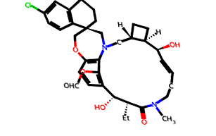 CC[C@H]1C(=O)N(C)CC/C=C/[C@H](O)[C@@H]2CC[C@H]2CN2C[C@@]3(CCCc4cc(Cl)ccc43)COc3ccc(c(OC=O)c32)[C@H]1O